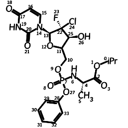 CC(C)OC(=O)[C@H](C)NP(=O)(OCC1O[C@@H](n2ccc(=O)[nH]c2=O)[C@@](F)(Cl)[C@H]1O)Oc1ccccc1